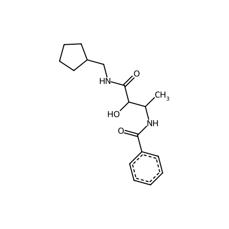 CC(NC(=O)c1ccccc1)C(O)C(=O)NCC1CCCC1